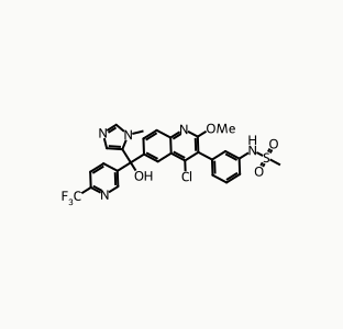 COc1nc2ccc(C(O)(c3ccc(C(F)(F)F)nc3)c3cncn3C)cc2c(Cl)c1-c1cccc(NS(C)(=O)=O)c1